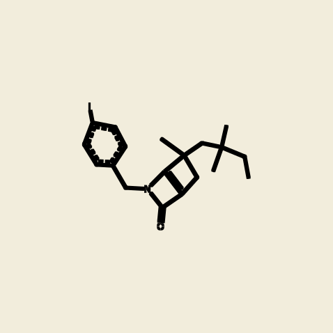 CCC(C)(C)CC1(C)CC2=C1N(Cc1ccc(I)cc1)C2=O